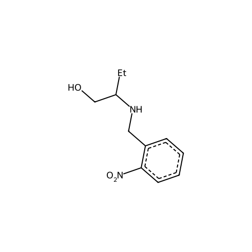 CCC(CO)NCc1ccccc1[N+](=O)[O-]